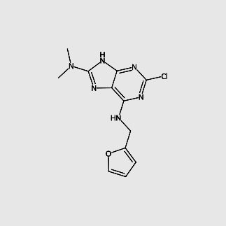 CN(C)c1nc2c(NCc3ccco3)nc(Cl)nc2[nH]1